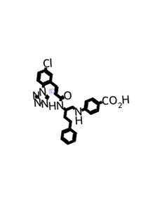 O=C(/C=C/c1cc(Cl)ccc1-n1cnnn1)NC(CCc1ccccc1)CNc1ccc(C(=O)O)cc1